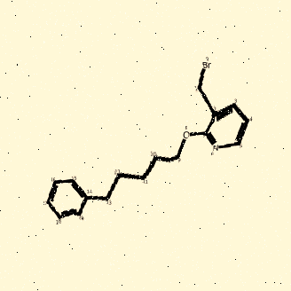 BrCc1cccnc1OCCCCCc1ccccc1